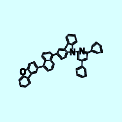 c1ccc(-c2cc(-c3ccccc3)nc(-n3c4ccccc4c4cc(-c5cccc6c(-c7ccc8oc9ccccc9c8c7)cccc56)ccc43)c2)cc1